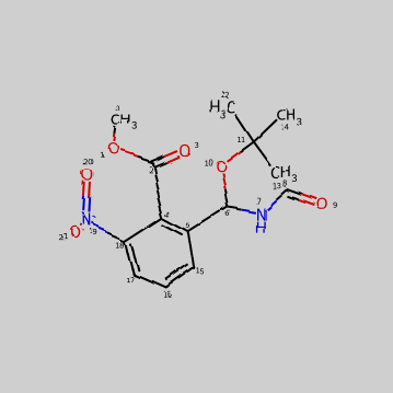 COC(=O)c1c(C(NC=O)OC(C)(C)C)cccc1[N+](=O)[O-]